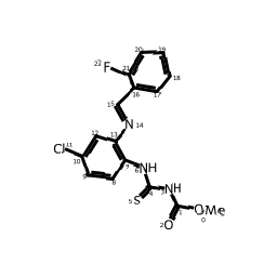 COC(=O)NC(=S)Nc1ccc(Cl)cc1N=Cc1ccccc1F